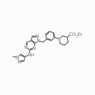 CCOC(=O)C1CCCN(c2cccc(Cn3ncc4cnc(Nc5cnn(C)c5)nc43)c2)C1